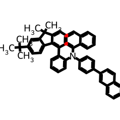 CC(C)(C)c1ccc2c(c1)C(C)(C)c1cccc(-c3ccccc3N(c3ccc(-c4ccc5ccccc5c4)cc3)c3cccc4ccccc34)c1-2